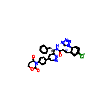 O=C(/C=C/c1cc(Cl)ccc1-n1cnnn1)N[C@@H](Cc1ccccc1)c1cc(-c2ccc(N3C(=O)CCOC3=O)cc2)cnn1